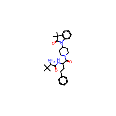 CC1(C)C(=O)N(C2CCN(C(=O)C(CCc3ccccc3)NC(=O)C(N)C(C)(C)C)CC2)c2ccccc21